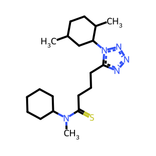 CC1CCC(C)C(n2nnnc2CCCC(=S)N(C)C2CCCCC2)C1